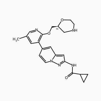 Cc1cnc(OC[C@@H]2CNCCO2)c(-c2ccn3nc(NC(=O)C4CC4)cc3c2)c1